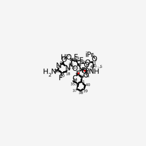 CC(C)OC(=O)[C@H](C)N[P@](=O)(OC[C@@]1(C(F)F)O[C@@H](n2cc(F)c(N)nc2=O)[C@@H](O)C1(F)F)Oc1cccc2ccccc12